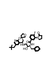 CC(C)(C)Cc1cnc2c(c1)[C@@H](NC[C@@H](O)[C@H](Cc1ccccc1)NC(=O)c1ccc(F)c(N3CCCC3=O)c1)C[C@]1(CCOC1)O2